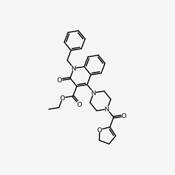 CCOC(=O)c1c(N2CCN(C(=O)C3=CCCO3)CC2)c2ccccc2n(Cc2ccccc2)c1=O